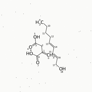 C=C(CC(=O)O)C(=O)O.CCCCC=CC=CCO